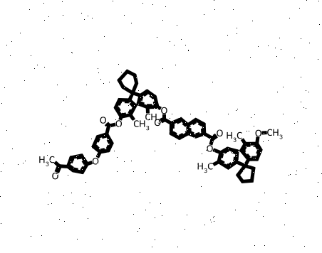 COc1ccc(C2(c3ccc(OC(=O)c4ccc5cc(C(=O)Oc6ccc(C7(c8ccc(OC(=O)c9ccc(Oc%10ccc(C(C)=O)cc%10)cc9)c(C)c8)CCCCC7)cc6C)ccc5c4)c(C)c3)CCCC2)cc1C